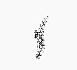 CCCCCCCCc1ccc(-c2ccc(-c3ccc(CCCCC)cc3)cc2)c(F)c1F